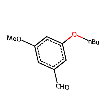 CCCCOc1cc(C=O)cc(OC)c1